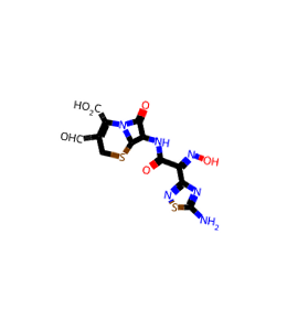 Nc1nc(C(=NO)C(=O)NC2C(=O)N3C(C(=O)O)=C(C=O)CSC23)ns1